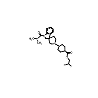 CN(C)C(=O)N1CC2(CCN(C3CCN(C(=O)OCC(F)F)CC3)CC2)c2ccccc21